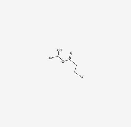 CC(=O)CCC(=O)OP(O)O